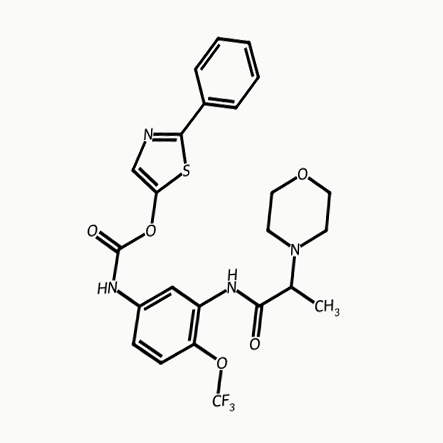 CC(C(=O)Nc1cc(NC(=O)Oc2cnc(-c3ccccc3)s2)ccc1OC(F)(F)F)N1CCOCC1